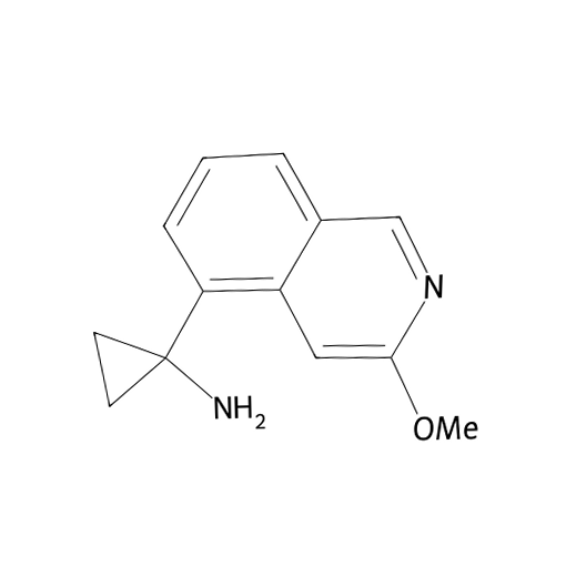 COc1cc2c(C3(N)CC3)cccc2cn1